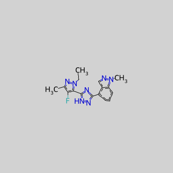 CCn1nc(C)c(F)c1-c1nc(-c2cccc3c2cnn3C)n[nH]1